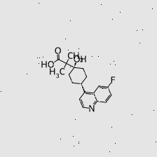 CC(C)(C(=O)O)[C@]1(O)CC[C@@H](c2ccnc3ccc(F)cc32)CC1